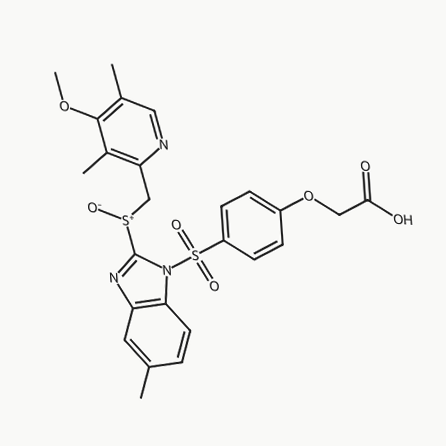 COc1c(C)cnc(C[S+]([O-])c2nc3cc(C)ccc3n2S(=O)(=O)c2ccc(OCC(=O)O)cc2)c1C